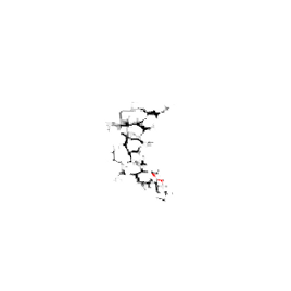 Cc1cc(N)nc(-c2c(Cl)c3c4c(nc(OCCN5[C@@H]6CC[C@@H]5CN(C)C6)nc4c2F)N([C@H](C)c2cccnc2N)CCO3)c1C(F)(F)F